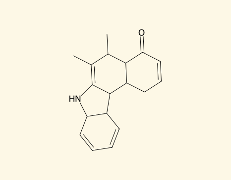 CC1=C2NC3C=CC=CC3C2C2CC=CC(=O)C2C1C